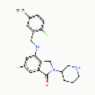 COc1ccc(F)c(CNc2cc(F)cc3c2CN(C2CCCNC2)C3=O)c1